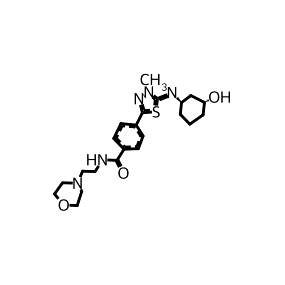 Cn1nc(-c2ccc(C(=O)NCCN3CCOCC3)cc2)sc1=N[C@@H]1CCC[C@@H](O)C1